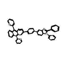 c1ccc(-c2nc3cc(-c4ccc(-c5ccc6c(-c7ccccn7)c7ccccc7c(-c7ccccn7)c6c5)cc4)ccc3n2-c2ccccc2)cc1